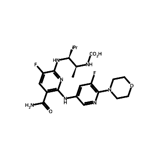 CC(C)[C@H](Nc1nc(Nc2cnc(N3CCOCC3)c(F)c2)c(C(N)=O)cc1F)[C@H](C)NC(=O)O